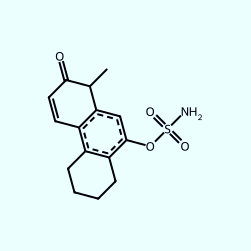 CC1C(=O)C=Cc2c1cc(OS(N)(=O)=O)c1c2CCCC1